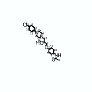 CC(=O)Nc1ccc(OC[C@@H](O)CN2CCN(c3ccc(Cl)cc3)C[C@H]2C)cc1